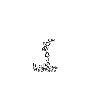 CO[C@@H]1[C@@H](OC)[C@H](C)O[C@@H](ON=Cc2ccc(-c3ncn(-c4ccc(O)cn4)n3)cc2)[C@@H]1OC